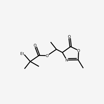 CCC(C)(C)C(=O)OC(C)C1N=C(C)OC1=O